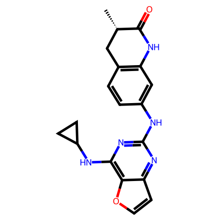 C[C@H]1Cc2ccc(Nc3nc(NC4CC4)c4occc4n3)cc2NC1=O